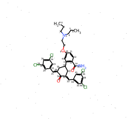 CCCN(CCC)CCOc1ccc(C(N)=O)c(C2C/C(=C\c3cc(Cl)cc(Cl)c3)C(=O)/C(=C/c3cc(Cl)cc(Cl)c3)C2)c1